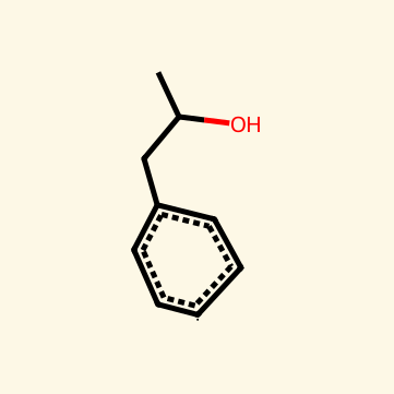 CC(O)Cc1cc[c]cc1